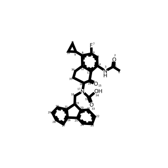 CC(=O)Nc1cc(F)c(C2CC2)c2c1C(=O)C(N(CC1c3ccccc3-c3ccccc31)C(=O)O)CC2